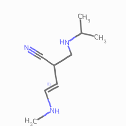 CN/C=C/C(C#N)CNC(C)C